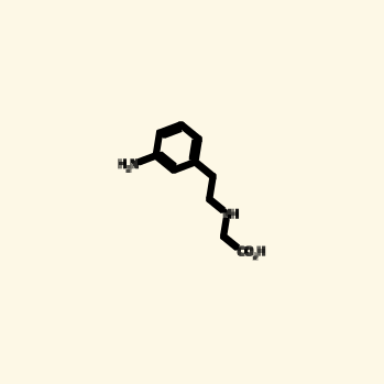 Nc1cccc(CCNCC(=O)O)c1